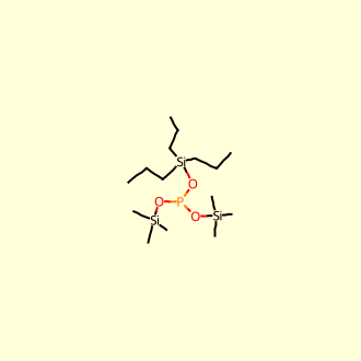 CCC[Si](CCC)(CCC)OP(O[Si](C)(C)C)O[Si](C)(C)C